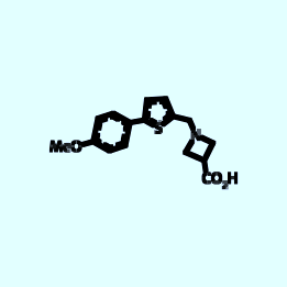 COc1ccc(-c2ccc(CN3CC(C(=O)O)C3)s2)cc1